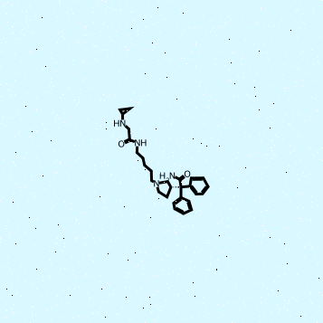 NC(=O)C(c1ccccc1)(c1ccccc1)[C@@H]1CCN(CCCCCNC(=O)CNC2CC2)C1